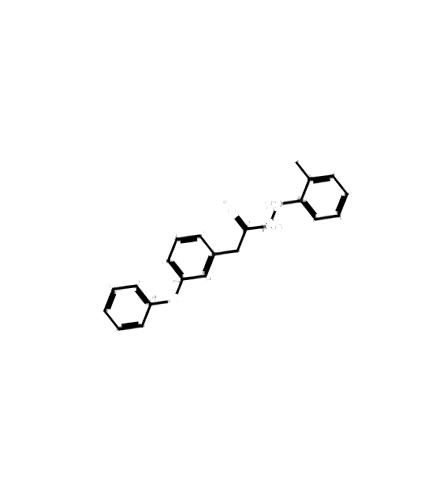 Cc1ccccc1NNC(=O)Cc1cccc(Oc2ccccc2)c1